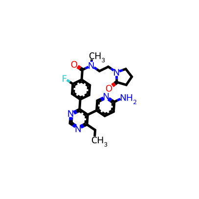 CCc1ncnc(-c2ccc(C(=O)N(C)CCN3CCCC3=O)c(F)c2)c1-c1ccc(N)nc1